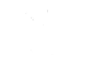 CC1=[N+](C)c2ccc(Cl)cc2C1(Cc1ccccc1)Cc1ccccc1.[Br-]